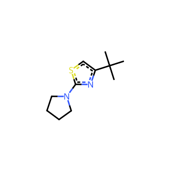 CC(C)(C)c1csc(N2CCCC2)n1